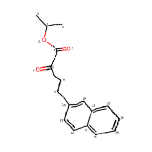 CC(C)OC(=O)C(=O)CCc1ccc2ccccc2c1